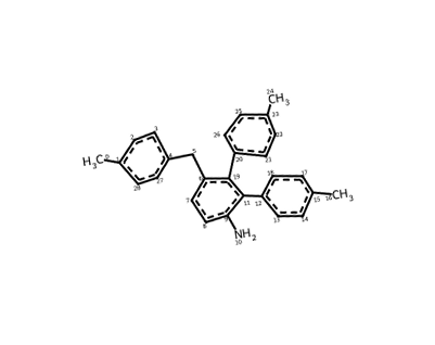 Cc1ccc(Cc2ccc(N)c(-c3ccc(C)cc3)c2-c2ccc(C)cc2)cc1